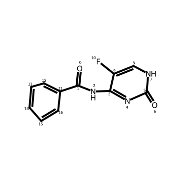 O=C(Nc1nc(=O)[nH]cc1F)c1ccccc1